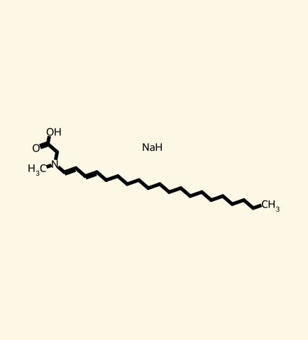 CCCCCCCCCCCCCCCCC=CC=CN(C)CC(=O)O.[NaH]